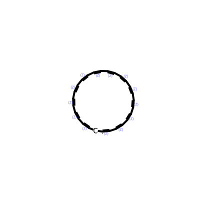 [C]1=C/C=C\C=C/C=C\C=C/C=C\C=C/C=C\C=C/C=C\C=C/C=C\C=C/C\1